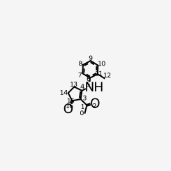 CC(=O)C1=C(Nc2ccccc2C)CCC1=O